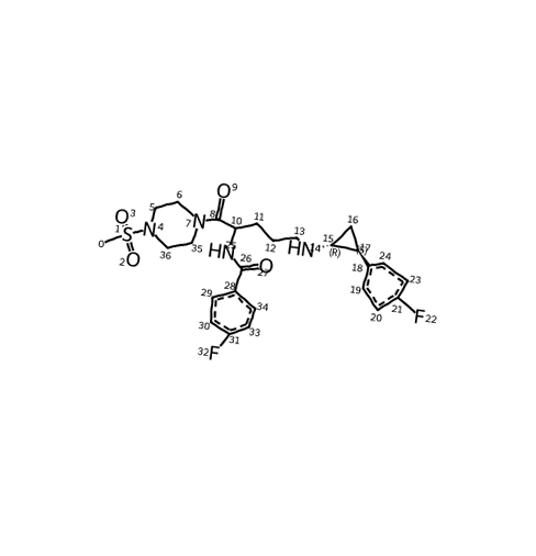 CS(=O)(=O)N1CCN(C(=O)C(CCCN[C@@H]2C[C@H]2c2ccc(F)cc2)NC(=O)c2ccc(F)cc2)CC1